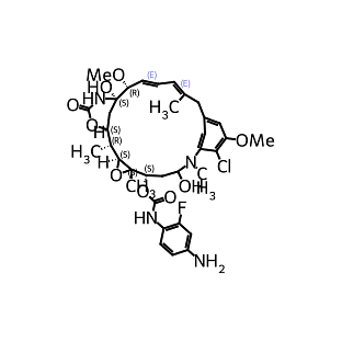 COc1cc2cc(c1Cl)N(C)C(O)C[C@H](OC(=O)Nc1ccc(N)cc1F)[C@]1(C)O[C@H]1[C@H](C)[C@@H]1C[C@@](O)(NC(=O)O1)[C@H](OC)/C=C/C=C(\C)C2